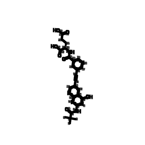 CC(C)(C)C(=O)Nc1nc(O)c2cc(C#Cc3cncc(C(=O)N[C@@H](CCC(=O)O)C(=O)O)c3)cnc2n1